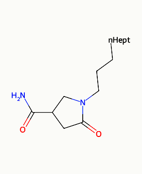 CCCCCCCCCCN1CC(C(N)=O)CC1=O